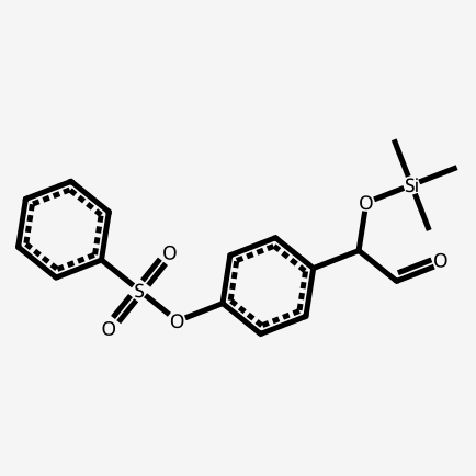 C[Si](C)(C)OC(C=O)c1ccc(OS(=O)(=O)c2ccccc2)cc1